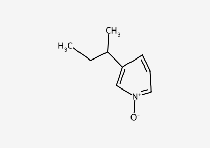 CCC(C)c1ccc[n+]([O-])c1